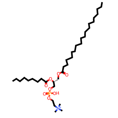 CCCCCCCCCCCCCCCCCCCC(=O)OC[C@H](COP(=O)(O)OCC[N+](C)(C)C)OC(=O)CCCCCCCC